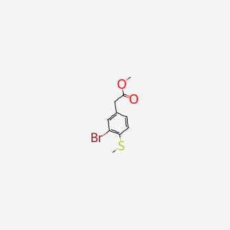 COC(=O)Cc1ccc(SC)c(Br)c1